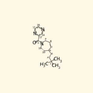 CC(C)(C)CCC1CCCN(C(=O)c2cnccn2)CC1